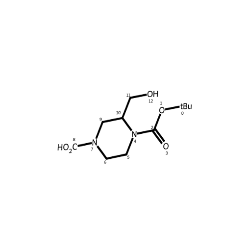 CC(C)(C)OC(=O)N1CCN(C(=O)O)CC1CO